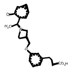 CC(c1ccccc1Cl)N1CC(COc2cccc(CCC(=O)O)c2)C1